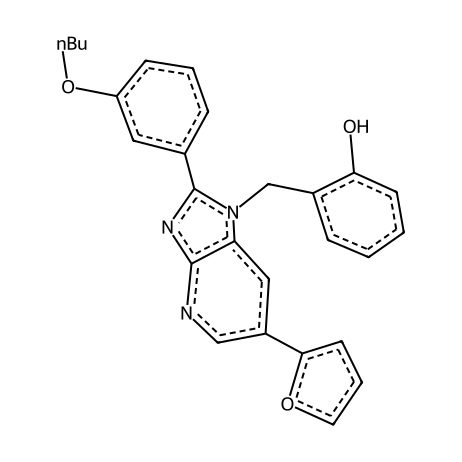 CCCCOc1cccc(-c2nc3ncc(-c4ccco4)cc3n2Cc2ccccc2O)c1